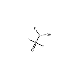 O=P(F)(F)B(O)F